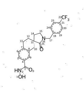 O=C(NO)c1ccc2c(c1)C[C@]1(CC2)CCN(Cc2ccc(C(F)(F)F)cc2)C1=O